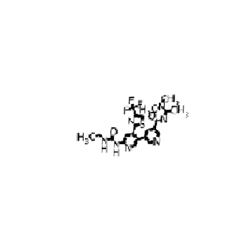 CCNC(=O)Nc1cc(-c2nc(C(F)(F)F)cs2)c(-c2cncc(C(=O)/N=C(/C)N(C)C)c2)cn1